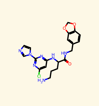 NCCCC(Nc1cc(Cl)nc(-n2ccnc2)n1)C(=O)NCc1ccc2c(c1)OCO2